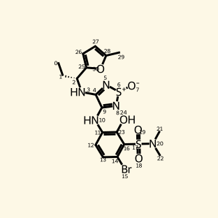 CC[C@@H](Nc1n[s+]([O-])nc1Nc1ccc(Br)c(S(=O)(=O)N(C)C)c1O)c1ccc(C)o1